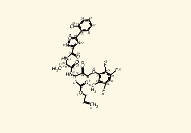 C=CCOC(=O)C[C@H](NC(=O)[C@H](C)NC(=O)c1noc(-c2ccccc2Cl)n1)C(=O)COc1c(C)c(F)cc(F)c1F